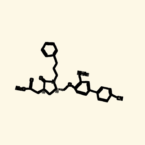 COC(=O)C[C@@H]1C[C@@H](COc2ccc(-c3ccc(C#N)cc3)cc2NC(C)=O)N(CCCc2ccccc2)C1=O